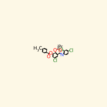 Cc1ccc(C(=O)Oc2cc(Cl)cc(C=Nc3ccc(Cl)cc3Cl)c2OC(=O)C(C)C)cc1